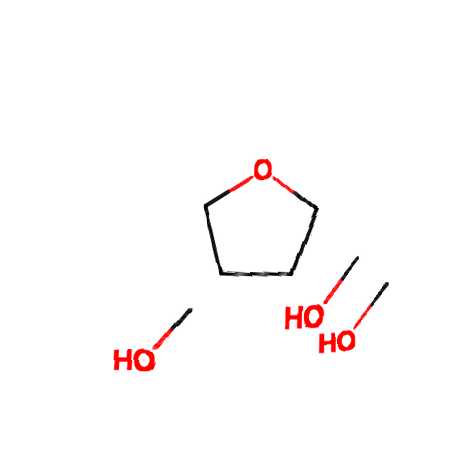 C1CCOC1.CO.CO.CO